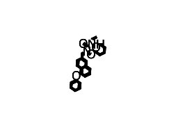 CCNC(=O)N(Cc1ccc2c(OC3=CCCC=C3)cccc2c1)OC1CCCCO1